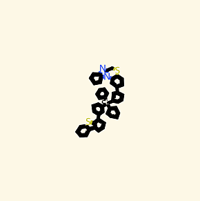 c1ccc([Si](c2ccccc2)(c2cccc(-c3ccc4c(c3)-n3c(nc5ccccc53)CS4)c2)c2cccc(-c3cccc4c3sc3ccccc34)c2)cc1